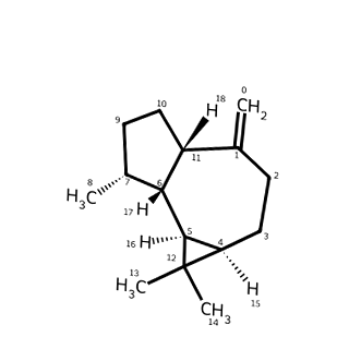 C=C1CC[C@@H]2[C@H]([C@@H]3[C@H](C)CC[C@H]13)C2(C)C